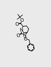 CC(C)(C)OC(=O)C1CCC2CN1C(=O)N2OCc1ccccc1